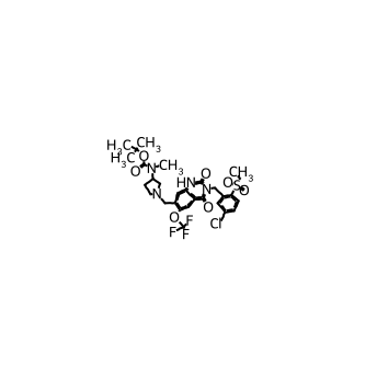 CCS(=O)(=O)c1ccc(Cl)cc1Cn1c(=O)[nH]c2cc(CN3CCC(N(C)C(=O)OC(C)(C)C)C3)c(OC(F)(F)F)cc2c1=O